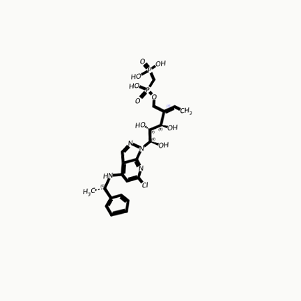 C/C=C(/COP(=O)(O)CP(=O)(O)O)[C@@H](O)[C@@H](O)[C@@H](O)n1ncc2c(N[C@@H](C)c3ccccc3)cc(Cl)nc21